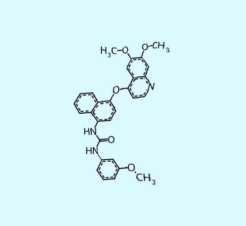 COc1cccc(NC(=O)Nc2ccc(Oc3ccnc4cc(OC)c(OC)cc34)c3ccccc23)c1